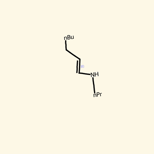 CCCCC/C=C/NCCC